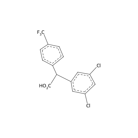 O=C(O)C(c1ccc(C(F)(F)F)cc1)c1cc(Cl)cc(Cl)c1